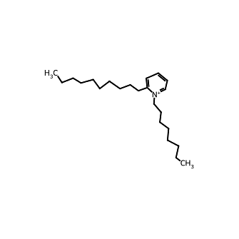 CCCCCCCCCCc1cccc[n+]1CCCCCCCC